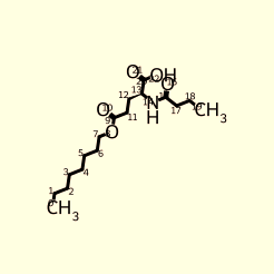 CCCCCCCCOC(=O)CC[C@H](NC(=O)CCC)C(=O)O